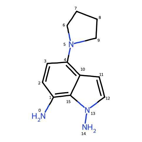 Nc1ccc(N2CCCC2)c2ccn(N)c12